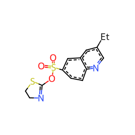 CCc1cnc2ccc(S(=O)(=O)OC3=NCCS3)cc2c1